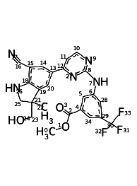 COC(=O)c1cc(Nc2nccc(-c3cc(C#N)c4c(c3)C(C)(CO)CN4)n2)cc(C(F)(F)F)c1